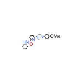 COc1ccc(N2CCN(c3cccc(C(=O)NC4CCCCC4)n3)CC2)cc1